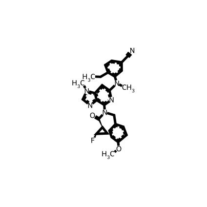 CCc1ccc(C#N)cc1N(C)c1cc2c(ncn2C)c(N(Cc2ccc(OC)cc2)C(=O)[C@H]2C[C@H]2F)n1